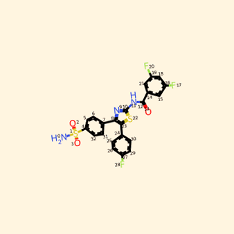 NS(=O)(=O)c1ccc(-c2nc(NC(=O)c3cc(F)cc(F)c3)sc2-c2ccc(F)cc2)cc1